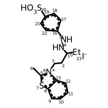 CCC(CC[n+]1c(C)sc2ccccc21)NNc1ccc(S(=O)(=O)O)cc1.[I-]